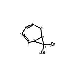 BrC1(Br)C2C=CC=CCC21